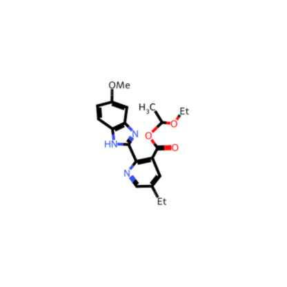 CCOC(C)OC(=O)c1cc(CC)cnc1-c1nc2cc(OC)ccc2[nH]1